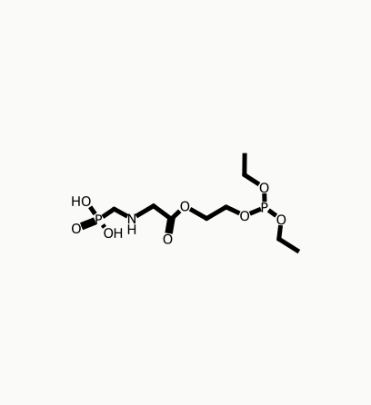 CCOP(OCC)OCCOC(=O)CNCP(=O)(O)O